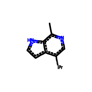 Cc1ncc(C(C)C)c2cc[nH]c12